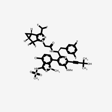 CNc1cc(-c2ccc(Cl)c3c(NS(C)(=O)=O)nn(C)c23)c([C@H](Cc2cc(F)cc(F)c2)NC(=O)Cn2nc(C(F)F)c3c2C(F)(F)[C@@H]2C[C@H]32)nc1C#CC(C)(C)O